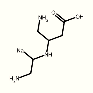 NC[CH]([Na])NC(CN)CC(=O)O